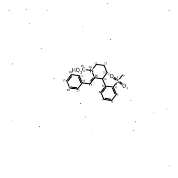 CS(=O)(=O)c1ccccc1C1CCCN(C(=O)O)C1=Cc1ccccc1